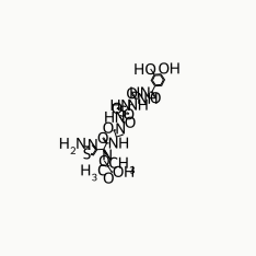 CC(C)(ON=C(C(=O)N[C@H]1CN(C(=O)NS(=O)(=O)NNC(=O)NNC(=O)c2ccc(O)c(O)c2)C1=O)c1csc(N)n1)C(=O)O